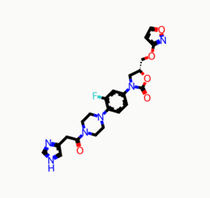 O=C(Cc1c[nH]cn1)N1CCN(c2ccc(N3C[C@H](COc4ccon4)OC3=O)cc2F)CC1